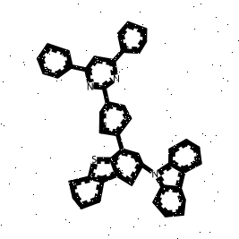 c1ccc(-c2cc(-c3ccccc3)nc(-c3ccc(-c4cc(-n5c6ccccc6c6ccccc65)cc5c4sc4ccccc45)cc3)n2)cc1